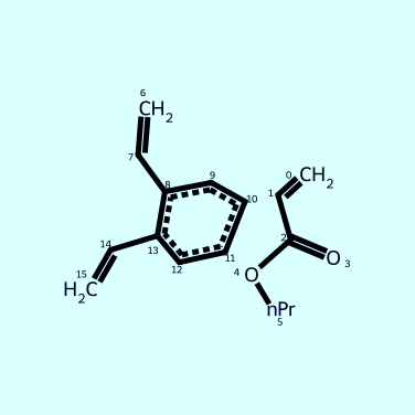 C=CC(=O)OCCC.C=Cc1ccccc1C=C